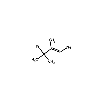 CCC(C)(C)/C(C)=C/C#N